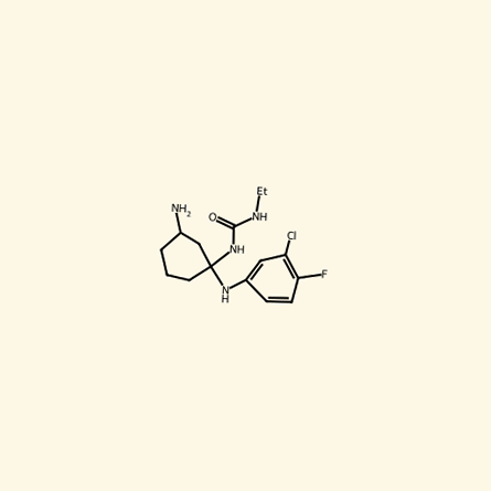 CCNC(=O)NC1(Nc2ccc(F)c(Cl)c2)CCCC(N)C1